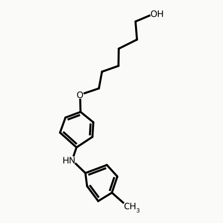 Cc1ccc(Nc2ccc(OCCCCCCO)cc2)cc1